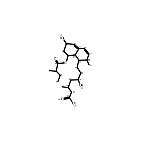 CCC(C)C(=O)OC1CC(O)C=C2C=CC(C)C(CCC(O)CC(C)CC(=O)O)C21